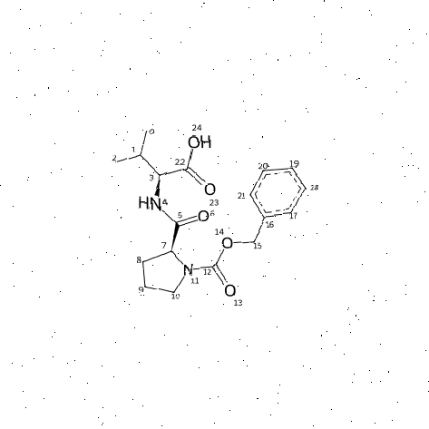 CC(C)[C@H](NC(=O)[C@@H]1CCCN1C(=O)OCc1ccccc1)C(=O)O